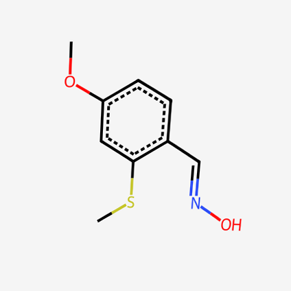 COc1ccc(/C=N/O)c(SC)c1